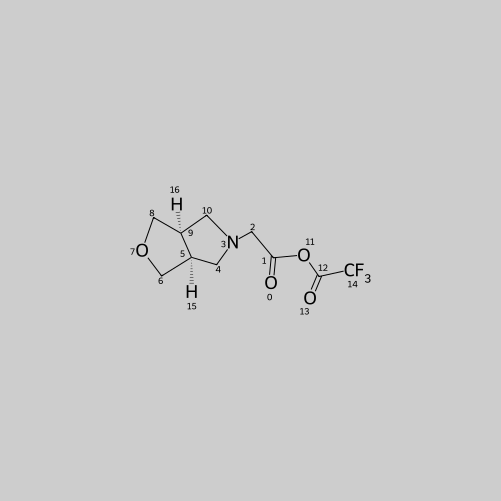 O=C(CN1C[C@H]2COC[C@H]2C1)OC(=O)C(F)(F)F